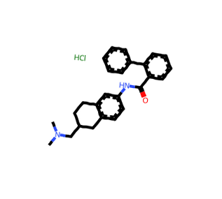 CN(C)CC1CCc2cc(NC(=O)c3ccccc3-c3ccccc3)ccc2C1.Cl